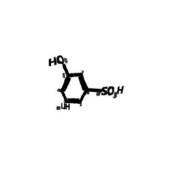 O=S(=O)(O)c1cccc(O)c1.[LiH]